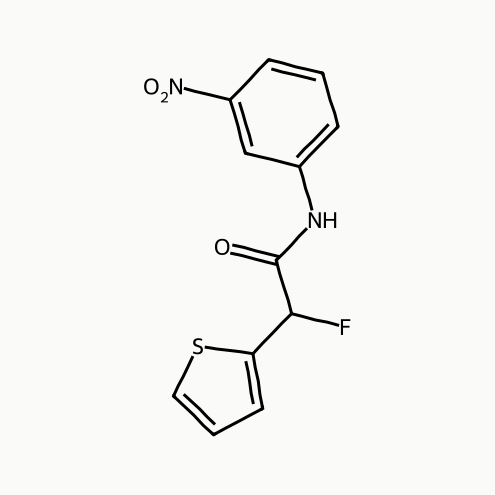 O=C(Nc1cccc([N+](=O)[O-])c1)C(F)c1cccs1